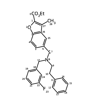 CCOC(=O)c1oc2ccc(SN(CCc3ccccc3)Cc3cccc(F)c3)cc2c1C